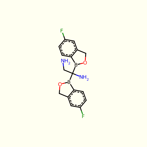 NCC(N)(B1OCc2cc(F)ccc21)B1OCc2cc(F)ccc21